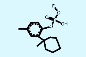 Cc1ccc(OP(=O)(O)OF)c(C2(C)CCCCC2)c1